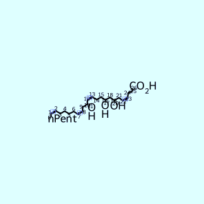 CCCCC/C=C\CCCC/C=C\CC(O)/C=C\CCC(O)CC(O)C/C=C\CCC(=O)O